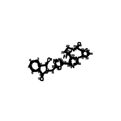 O=C1c2ccccc2C(=O)N1Cc1nnc(-c2ncn3c2[C@@H]2CCN2C(=O)c2sccc2-3)o1